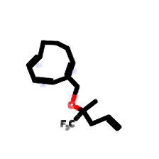 C=CCC(C)(OCC1=C/CCC/C=C/C=C\1)C(F)(F)F